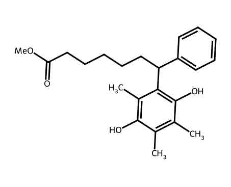 COC(=O)CCCCCC(c1ccccc1)c1c(C)c(O)c(C)c(C)c1O